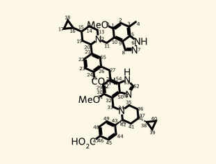 COc1cc(C)c2[nH]ncc2c1CN1CCC(C2CC2)CC1c1ccc(C(=O)O)c(Cc2cc(OC)c(CN3CC[C@H](C4CC4)C[C@H]3c3ccc(C(=O)O)cc3)c3nc[nH]c23)c1